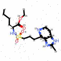 CCCC[C@H](NS(=O)(=O)CCCc1nccc2[nH]c(C)nc12)C(=O)OCC